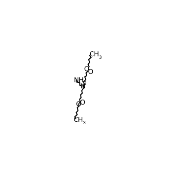 CCCCCCCOC(=O)CCCCCCN(CCCN)CCCCCCC(=O)OCCCCCCC